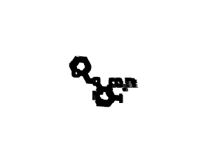 CCOC(=O)c1c(I)ccnc1OCC1CCCCO1